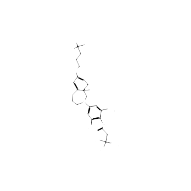 Cc1cc(N2CCCC3=CC(OCCCC(F)(F)F)=CCC3(C)C2)cc(C)c1NC(=O)CC(C)(C)C